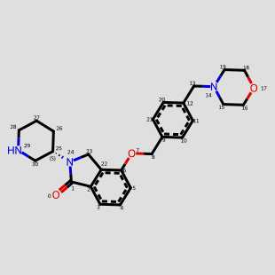 O=C1c2cccc(OCc3ccc(CN4CCOCC4)cc3)c2CN1[C@H]1CCCNC1